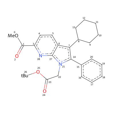 COC(=O)c1ccc2c(C3CCCCC3)c(-c3ccccc3)n(CC(=O)OC(C)(C)C)c2n1